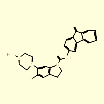 CN1CCN(c2cc3c(cc2Cl)CCN3C(=O)Nc2ccc3c(c2)-c2ccccc2C3=O)CC1